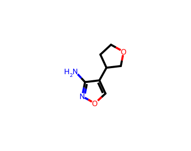 Nc1nocc1C1CCOC1